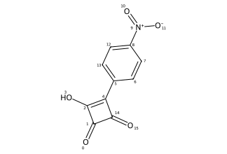 O=c1c(O)c(-c2ccc([N+](=O)[O-])cc2)c1=O